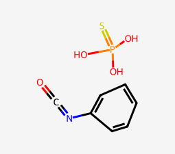 O=C=Nc1ccccc1.OP(O)(O)=S